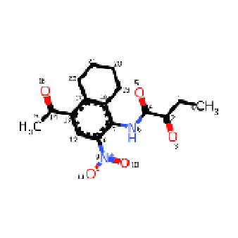 CCC(=O)C(=O)Nc1c([N+](=O)[O-])cc(C(C)=O)c2c1CCCC2